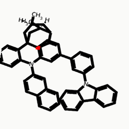 C[C@H]1CC2CCC(c3ccccc3N(c3cccc(-c4cccc(-n5c6ccccc6c6ccccc65)c4)c3)c3ccc4ccccc4c3)(C1)C[C@H]2C